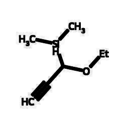 C#CC(OCC)[SiH](C)C